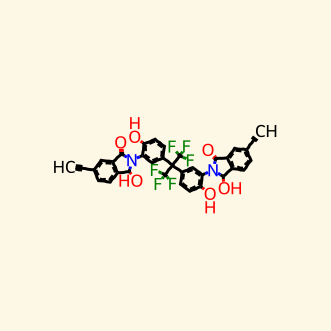 C#Cc1ccc2c(c1)C(=O)N(c1cc(C(c3ccc(O)c(N4C(=O)c5cc(C#C)ccc5C4O)c3)(C(F)(F)F)C(F)(F)F)ccc1O)C2O